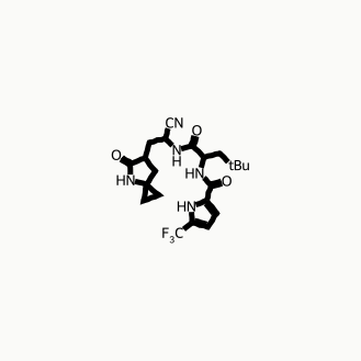 CC(C)(C)CC(NC(=O)c1ccc(C(F)(F)F)[nH]1)C(=O)NC(C#N)CC1CC2(CC2)NC1=O